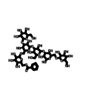 O=C(OCC1OC(OCC2OC(OC3C(O)C(CO)OC(OC4C(O)C(O)OC(COC5OC(CO)C(O)C(O)C5O)C4O)C3O)C(O)C(OC3OC(CO)C(O)C(O)C3O)[C@@H]2O)C(O)C(O)C1O)c1ccccc1